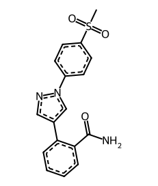 CS(=O)(=O)c1ccc(-n2cc(-c3ccccc3C(N)=O)cn2)cc1